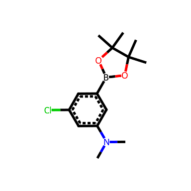 CN(C)c1cc(Cl)cc(B2OC(C)(C)C(C)(C)O2)c1